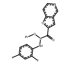 CC(C)ON(Nc1ccc(I)cc1F)C(=O)c1cc2cnccc2o1